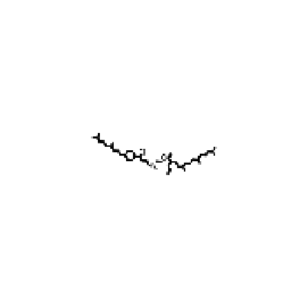 C=CCC(CCC(C)CC/C=C(\C)CCC=C(C)C)C(=C)OCCN(C)CCCC(=O)C1CC=C(CC/C=C(\C)CCC=C(C)C)CC1